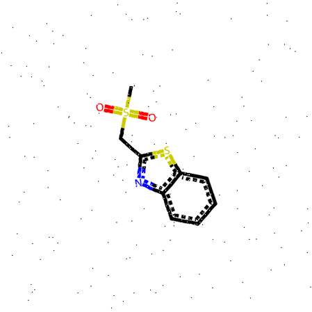 [CH2]S(=O)(=O)Cc1nc2ccccc2s1